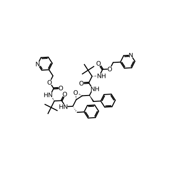 CC(C)(C)[C@H](NC(=O)OCc1cccnc1)C(=O)N[C@@H](Cc1ccccc1)[C@@H]1O[C@@H]1[C@H](Cc1ccccc1)NC(=O)[C@@H](NC(=O)OCc1cccnc1)C(C)(C)C